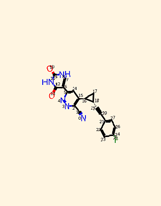 N#Cc1nnc(-c2c[nH]c(=O)[nH]c2=O)cc1[C@H]1C[C@@H]1C#Cc1ccc(F)cc1